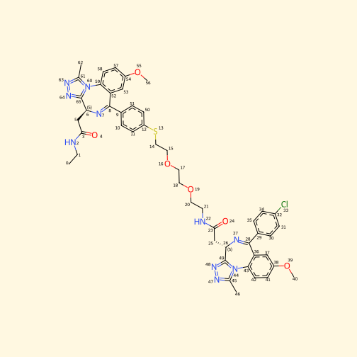 CCNC(=O)C[C@@H]1N=C(c2ccc(SCCOCCOCCNC(=O)C[C@@H]3N=C(c4ccc(Cl)cc4)c4cc(OC)ccc4-n4c(C)nnc43)cc2)c2cc(OC)ccc2-n2c(C)nnc21